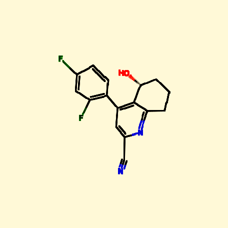 N#Cc1cc(-c2ccc(F)cc2F)c2c(n1)CCC[C@H]2O